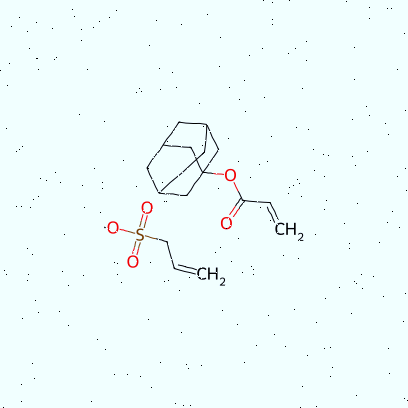 C=CC(=O)OC12CC3CC(CC(C3)C1)C2.C=CCS([O])(=O)=O